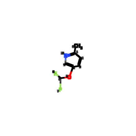 Cc1ccc(OC(F)F)cn1